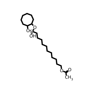 CC(=O)OCCCCCCCCCCC[Si]1(O)OC2CCCCCCC2O1